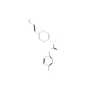 CN(C(=O)Oc1ccc(C(F)(F)F)cc1)[C@H]1CC[C@H](/C=C/CCl)CC1